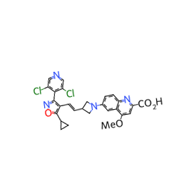 COc1cc(C(=O)O)nc2ccc(N3CC(/C=C/c4c(-c5c(Cl)cncc5Cl)noc4C4CC4)C3)cc12